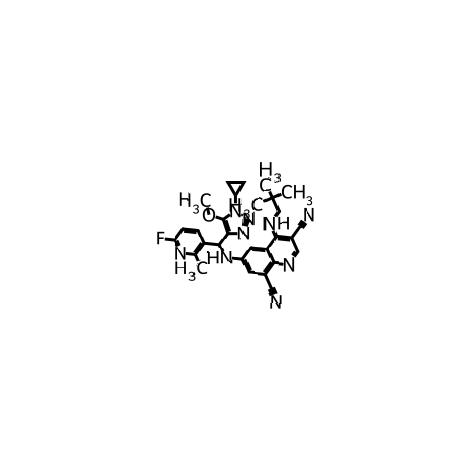 COc1c(C(Nc2cc(C#N)c3ncc(C#N)c(NCC(C)(C)C)c3c2)c2ccc(F)nc2C)nnn1C1CC1